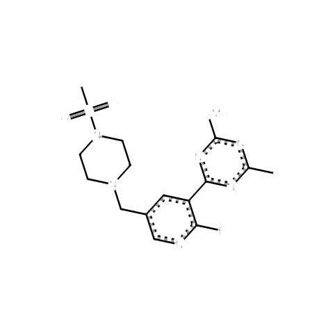 CSc1nc(C)nc(-c2cc(CN3CCN(S(C)(=O)=O)CC3)cnc2F)n1